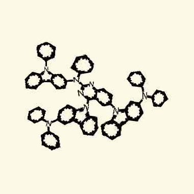 c1ccc(N(c2ccccc2)c2ccc3c(c2)c2ccccc2n3-c2nc(N(c3ccccc3)c3ccc4c5ccccc5n(-c5ccccc5)c4c3)nc3ccc(-n4c5ccccc5c5ccc(N(c6ccccc6)c6ccccc6)cc54)cc23)cc1